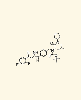 CC(C)C[C@@H](C(=O)OC1CCCC1)N(Cc1ccc(NC(=N)CC(=O)c2ccc(F)cc2F)cc1)C(=O)OC(C)(C)C